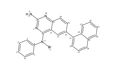 Nc1nc(N(Br)c2ccccc2)c2cc(-c3cccc4ccccc34)ccc2n1